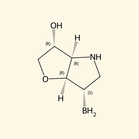 B[C@H]1CN[C@H]2[C@@H]1OC[C@@H]2O